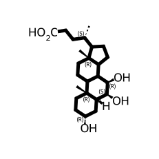 C[C@@H](CCC(=O)O)C1CCC2C3C(CC[C@@]21C)[C@@]1(C)CC[C@@H](O)C[C@H]1[C@H](O)[C@@H]3O